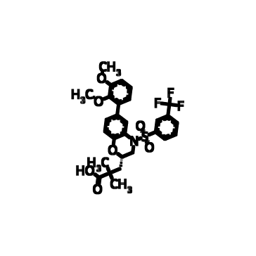 COc1cccc(-c2ccc3c(c2)N(S(=O)(=O)c2cccc(C(F)(F)F)c2)C[C@H](CC(C)(C)C(=O)O)O3)c1OC